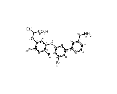 CCC(Oc1nc(Oc2cc(Br)cc(-c3cccc(CN)c3)c2)c(F)cc1F)C(=O)O